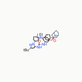 CCNc1ccc(C(=O)N2C3CCC2CC(Cc2cccc(NC(=O)Nc4cc(C(C)(C)C)nn4-c4ccc(C)cc4)c2)C3)cc1